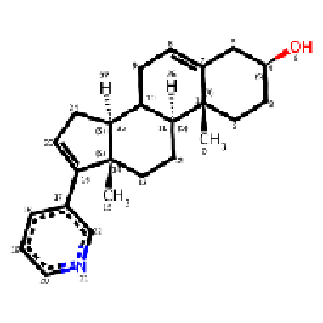 C[C@]12CC[C@H](O)CC1=CCC1[C@@H]2CC[C@]2(C)C(c3cccnc3)=CC[C@@H]12